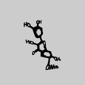 COc1cc2c(=O)c(O)c(-c3ccc(O)c(O)c3)oc2cc1O